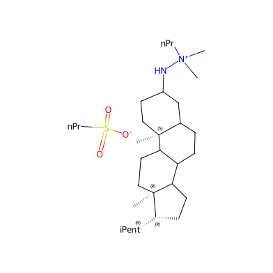 CCCS(=O)(=O)[O-].CCC[C@@H](C)[C@H]1CCC2C3CCC4CC(N[N+](C)(C)CCC)CC[C@]4(C)C3CC[C@@]21C